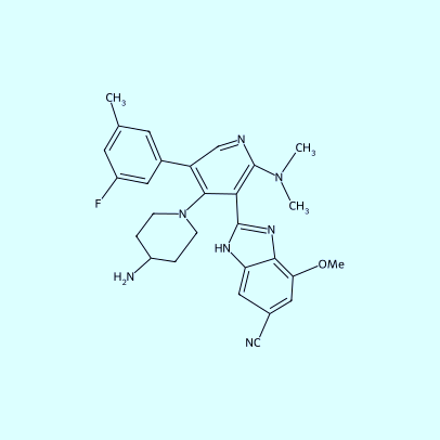 COc1cc(C#N)cc2[nH]c(-c3c(N(C)C)ncc(-c4cc(C)cc(F)c4)c3N3CCC(N)CC3)nc12